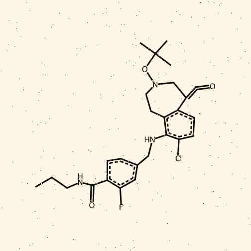 CCCNC(=O)c1ccc(CNc2c(Cl)ccc3c2CCN(OC(C)(C)C)CC3=C=O)cc1F